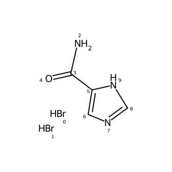 Br.Br.NC(=O)c1cnc[nH]1